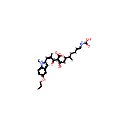 CCCOc1ccc2c(c1)cc(C=C(C)C(=O)c1c(O)cc(C(C)CCC=CNC(=O)O)oc1=O)n2C